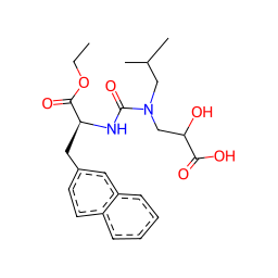 CCOC(=O)[C@H](Cc1ccc2ccccc2c1)NC(=O)N(CC(C)C)CC(O)C(=O)O